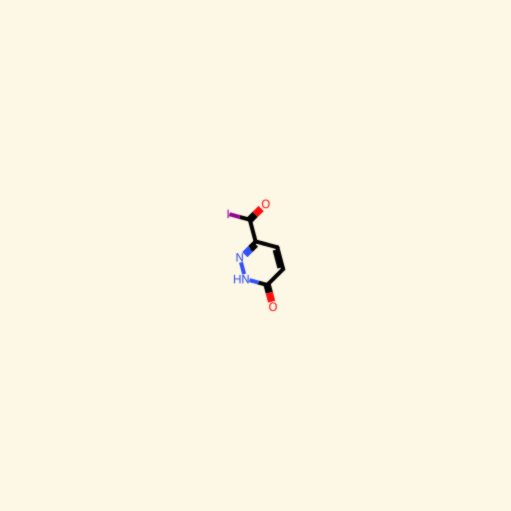 O=C(I)c1ccc(=O)[nH]n1